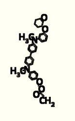 C=CC(=O)OCOc1ccc(N(C)c2ccc(-c3ccc(N(C)c4cccc(OC5CCCC6OC56)c4)cc3)cc2)cc1